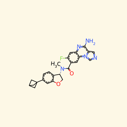 CN(C(=O)c1cc2c(cc1F)nc(N)c1cncn12)[C@@H]1COc2cc(C34CC(C3)C4)ccc21